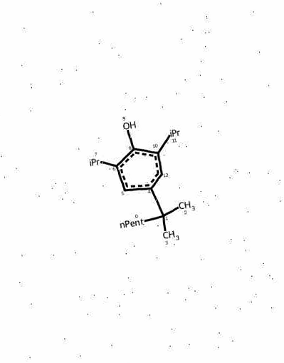 CCCCCC(C)(C)c1cc(C(C)C)c(O)c(C(C)C)c1